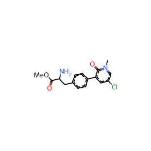 COC(=O)C(N)Cc1ccc(-c2cc(Cl)cn(C)c2=O)cc1